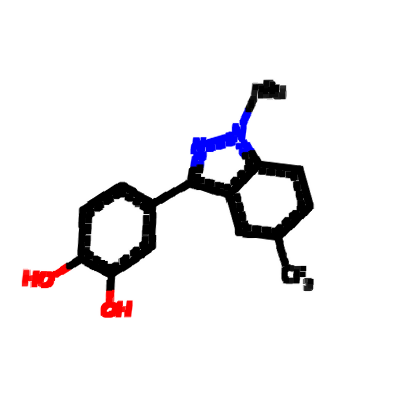 CCCCn1nc(-c2ccc(O)c(O)c2)c2cc(C(F)(F)F)ccc21